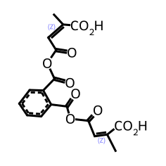 C/C(=C/C(=O)OC(=O)c1ccccc1C(=O)OC(=O)/C=C(/C)C(=O)O)C(=O)O